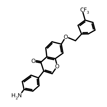 Nc1ccc(-c2coc3cc(OCc4cccc(C(F)(F)F)c4)ccc3c2=O)cc1